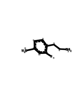 Bc1ccc(CCN)c(F)c1